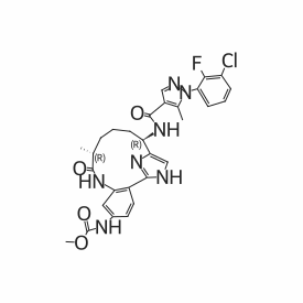 COC(=O)Nc1ccc2c(c1)NC(=O)[C@H](C)CCC[C@@H](NC(=O)c1cnn(-c3cccc(Cl)c3F)c1C)c1c[nH]c-2n1